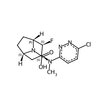 CN(c1ccc(Cl)nn1)[C@H]1C[C@@H]2CC[C@H]([C@H]1F)N2C(=O)O